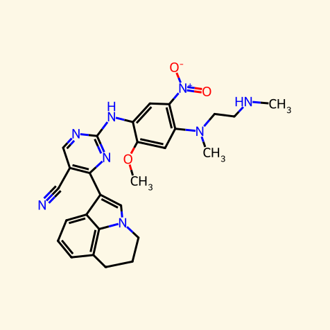 CNCCN(C)c1cc(OC)c(Nc2ncc(C#N)c(-c3cn4c5c(cccc35)CCC4)n2)cc1[N+](=O)[O-]